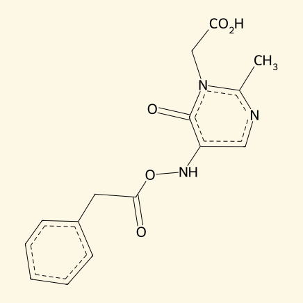 Cc1ncc(NOC(=O)Cc2ccccc2)c(=O)n1CC(=O)O